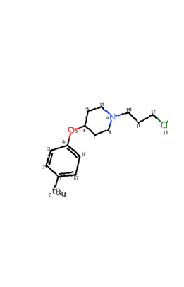 CC(C)(C)c1ccc(OC2CCN(CCCCl)CC2)cc1